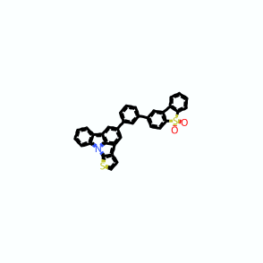 O=S1(=O)c2ccccc2-c2cc(-c3cccc(-c4cc5c6ccccc6n6c7sccc7c(c4)c56)c3)ccc21